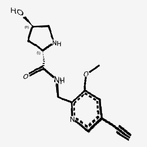 C#Cc1cnc(CNC(=O)[C@@H]2C[C@@H](O)CN2)c(OC)c1